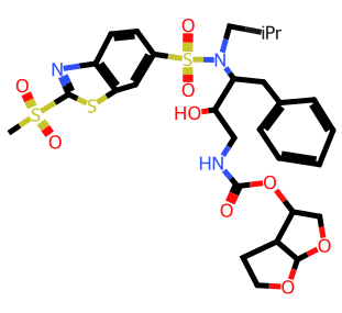 CC(C)CN(C(Cc1ccccc1)C(O)CNC(=O)OC1COC2OCCC12)S(=O)(=O)c1ccc2nc(S(C)(=O)=O)sc2c1